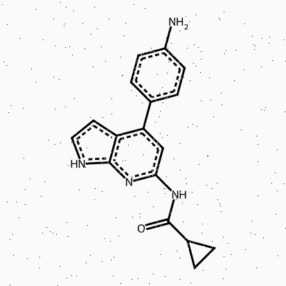 Nc1ccc(-c2cc(NC(=O)C3CC3)nc3[nH]ccc23)cc1